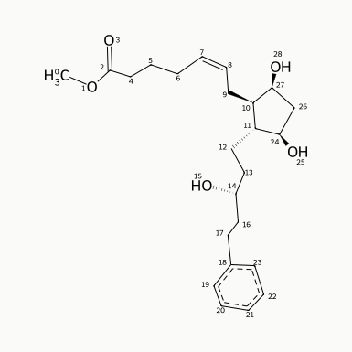 COC(=O)CCC/C=C\C[C@@H]1[C@@H](CC[C@@H](O)CCc2ccccc2)[C@H](O)C[C@@H]1O